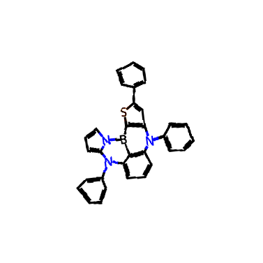 c1ccc(-c2cc3c(s2)B2c4c(cccc4N(c4ccccc4)c4cccn42)N3c2ccccc2)cc1